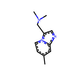 Cc1ccn2c(CN(C)C)cnc2c1